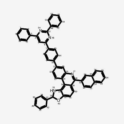 c1ccc(-c2cc(-c3ccc(-c4ccc5c(c4)nc(-c4ccc6ccccc6c4)c4ccc6c(c45)NC(c4ccccc4)O6)cc3)nc(-c3ccccc3)n2)cc1